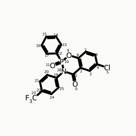 O=C1c2cc(Cl)ccc2OP(=O)(c2ccccc2)N1c1ccc(C(F)(F)F)cc1